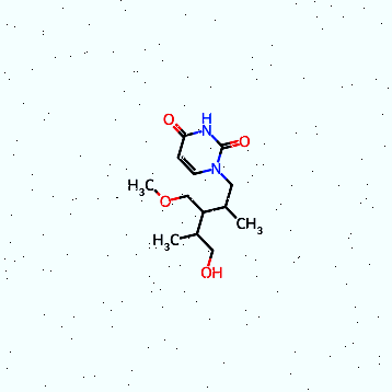 COCC(C(C)CO)C(C)Cn1ccc(=O)[nH]c1=O